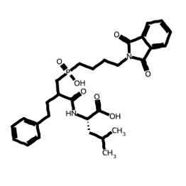 CC(C)C[C@H](NC(=O)C(CCc1ccccc1)CP(=O)(O)CCCCN1C(=O)c2ccccc2C1=O)C(=O)O